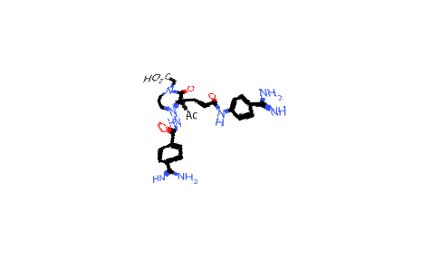 CC(=O)C1(CCC(=O)Nc2ccc(C(=N)N)cc2)C(=O)N(CC(=O)O)CCN1NC(=O)c1ccc(C(=N)N)cc1